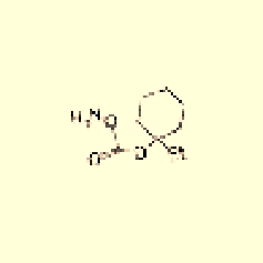 CCC1(OC(=O)ON)CCCCC1